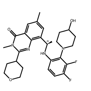 Cc1cc([C@@H](C)Nc2ccc(F)c(F)c2N2CCC(O)CC2)c2nc(C3CCOCC3)n(C)c(=O)c2c1